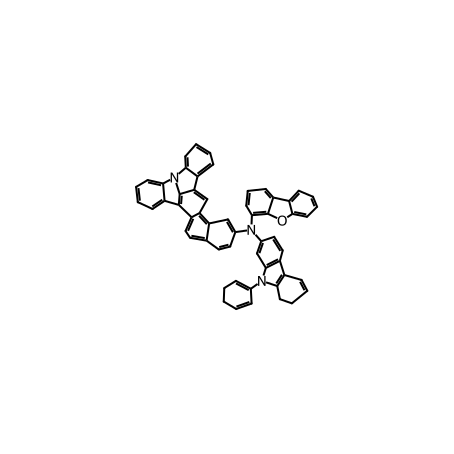 C1=CC(n2c3c(c4ccc(N(c5ccc6ccc7c(cc8c9ccccc9n9c%10ccccc%10c7c89)c6c5)c5cccc6c5oc5ccccc56)cc42)C=CCC3)=CCC1